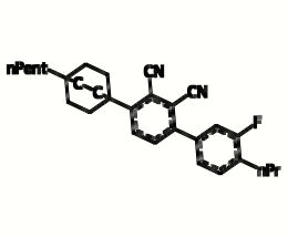 CCCCCC12CCC(c3ccc(-c4ccc(CCC)c(F)c4)c(C#N)c3C#N)(CC1)CC2